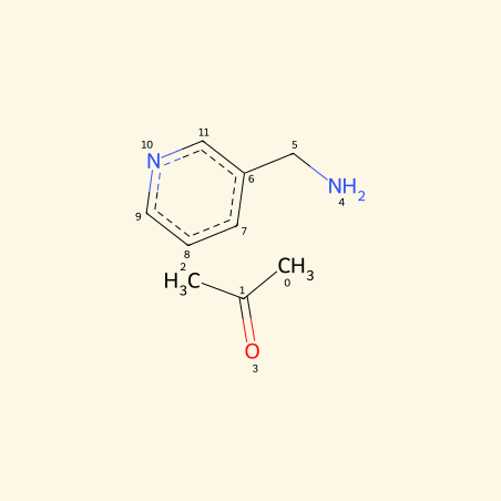 CC(C)=O.NCc1cccnc1